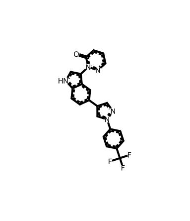 O=c1cccnn1-c1c[nH]c2ccc(-c3cnn(-c4ccc(C(F)(F)F)cc4)c3)cc12